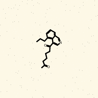 CCCc1cccc2cncc(C(=O)CCCCC(C)=O)c12